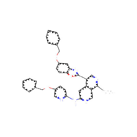 CNc1ncc(-c2nc3cc(OCc4ccccc4)ccc3o2)c2cc(Nc3ccc(OCc4ccccc4)cn3)ncc12